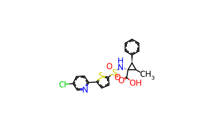 CC1[C@H](c2ccccc2)[C@]1(NS(=O)(=O)c1ccc(-c2ccc(Cl)cn2)s1)C(=O)O